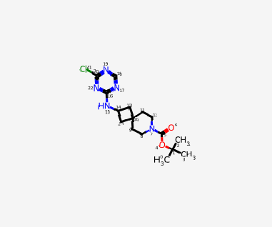 CC(C)(C)OC(=O)N1CCC2(CC1)CC(Nc1ncnc(Cl)n1)C2